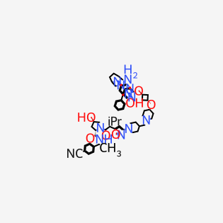 CC(C)[C@@H](C(=O)N1C[C@H](O)C[C@H]1C(=O)N[C@@H](C)c1ccc(C#N)cc1)c1cc(N2CCC(CN3CCC(O[C@H]4C[C@H](Oc5cc(N6CC7CCC(C6)N7c6cc(-c7ccccc7O)nnc6N)ccn5)C4)CC3)CC2)no1